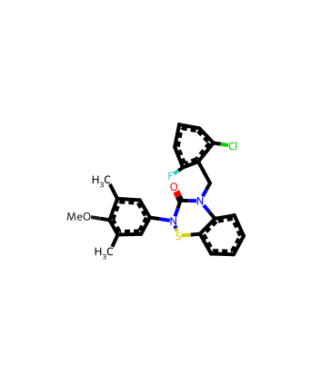 COc1c(C)cc(N2Sc3ccccc3N(Cc3c(F)cccc3Cl)C2=O)cc1C